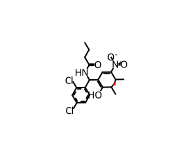 CCCC(=O)NC(C(/C=C(\C(C)C)[N+](=O)[O-])=C(\O)C(C)C)c1ccc(Cl)cc1Cl